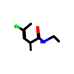 CCNC(=O)C(C)/C=C(\C)Cl